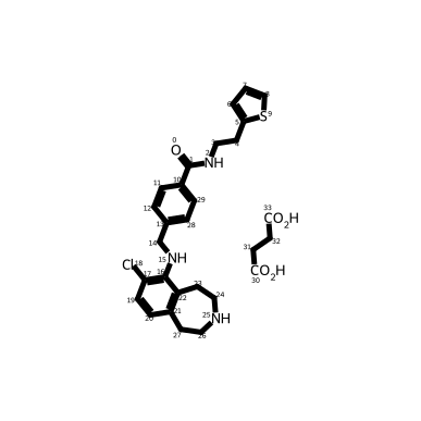 O=C(NCCc1cccs1)c1ccc(CNc2c(Cl)ccc3c2CCNCC3)cc1.O=C(O)CCC(=O)O